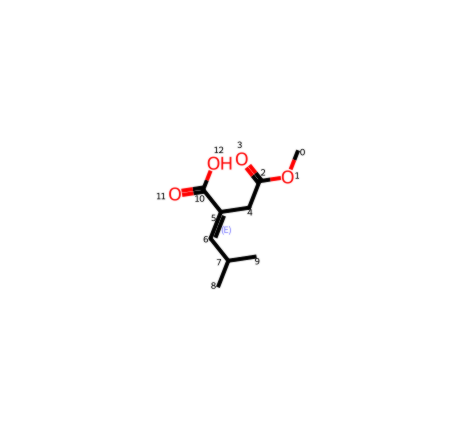 COC(=O)C/C(=C\C(C)C)C(=O)O